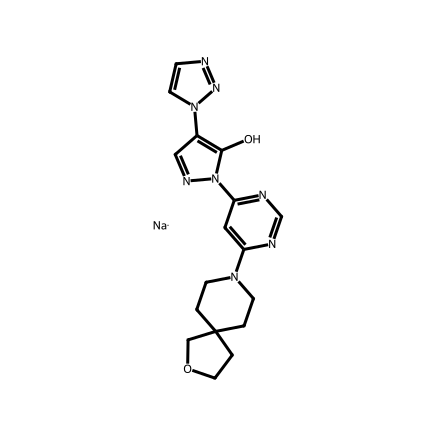 Oc1c(-n2ccnn2)cnn1-c1cc(N2CCC3(CCOC3)CC2)ncn1.[Na]